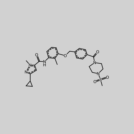 Cc1c(NC(=O)c2cc(C3CC3)nn2C)cccc1OCc1ccc(C(=O)N2CCN(S(C)(=O)=O)CC2)cc1